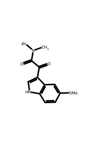 CSc1ccc2[nH]cc(C(=O)C(=O)N(C)C(C)C)c2c1